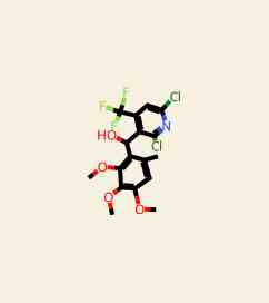 COc1cc(C)c(C(O)c2c(C(F)(F)F)cc(Cl)nc2Cl)c(OC)c1OC